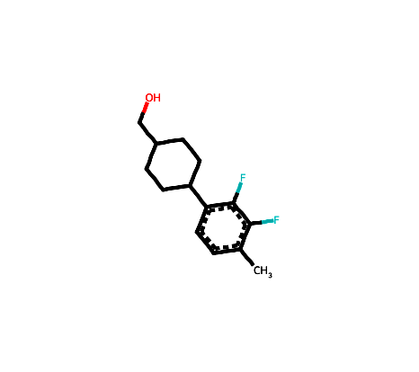 Cc1ccc(C2CCC(CO)CC2)c(F)c1F